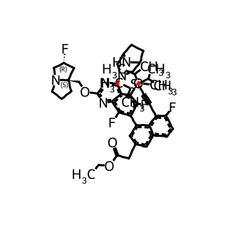 CCOC(=O)Cc1cc(-c2c(F)c(OC)c3c(N4CC5CCC(C4)N5)nc(OC[C@@]45CCCN4C[C@H](F)C5)nc3c2F)c2c(C#C[Si](C(C)C)(C(C)C)C(C)C)c(F)ccc2c1